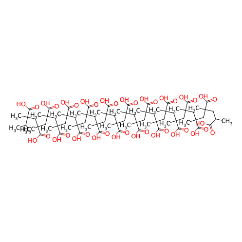 CC(CC(C)(CC(C)(CC(C)(CC(C)(CC(C)(CC(C)(CC(C)(CC(C)(CC(C)(CC(C)(CC(C)(CC(C)(CC(C)(CC(C)(CC(C)(CC(C)(CC(C)(CC(C)(CC(C)(C(=O)O)C(C)C)C(=O)O)C(=O)O)C(=O)O)C(=O)O)C(=O)O)C(=O)O)C(=O)O)C(=O)O)C(=O)O)C(=O)O)C(=O)O)C(=O)O)C(=O)O)C(=O)O)C(=O)O)C(=O)O)C(=O)O)C(=O)O)C(=O)O